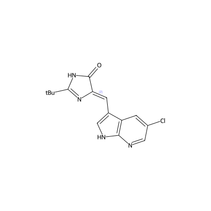 CC(C)(C)C1=N/C(=C\c2c[nH]c3ncc(Cl)cc23)C(=O)N1